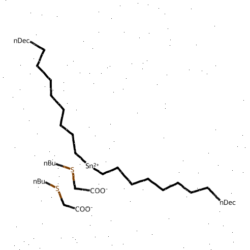 CCCCCCCCCCCCCCCCC[CH2][Sn+2][CH2]CCCCCCCCCCCCCCCCC.CCCCSCC(=O)[O-].CCCCSCC(=O)[O-]